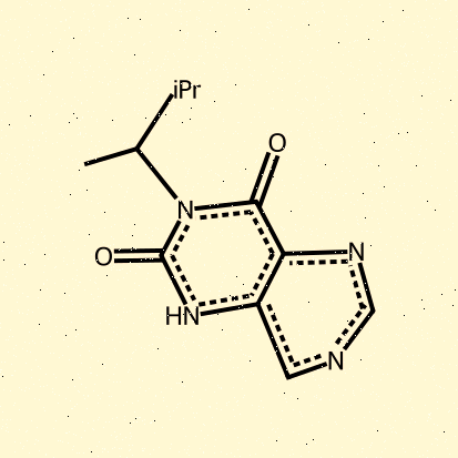 CC(C)C(C)n1c(=O)[nH]c2cncnc2c1=O